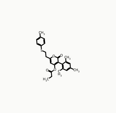 CCC(=O)Oc1cc(CCSc2ccc(C)cc2)oc(=O)c1-c1c(C)cc(C)cc1C